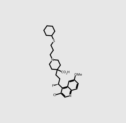 COc1ccc2ncc(Cl)c([C@@H](F)CCC3(C(=O)O)CCN(CCCSC4CCCCC4)CC3)c2c1